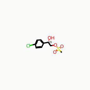 CS(=O)(=O)OC[C@@H](O)c1ccc(Cl)cc1